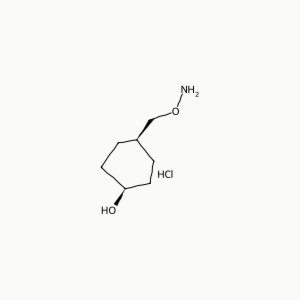 Cl.NOC[C@H]1CC[C@@H](O)CC1